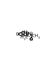 CC[C@]12CC[C@H]3[C@@H](CCC4=CC(=O)CC[C@@H]43)[C@@H]1CC[C@@H]2OC(=O)C(C)c1ccccc1